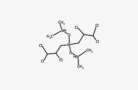 C[SiH](C)O[Si](CC(Cl)C(Cl)Cl)(CC(Cl)C(Cl)Cl)O[SiH](C)C